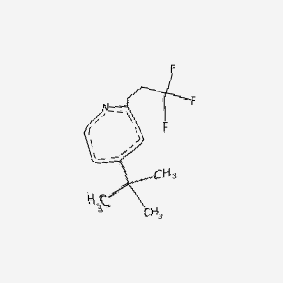 CC(C)(C)c1ccnc(CC(F)(F)F)c1